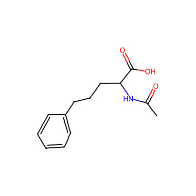 CC(=O)NC(CCCc1ccccc1)C(=O)O